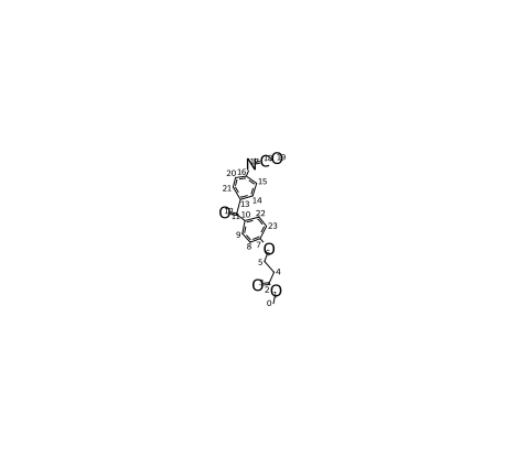 COC(=O)CCOc1ccc(C(=O)c2ccc(N=C=O)cc2)cc1